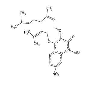 CCCCn1c(=O)c(OCC=C(C)CCC=C(C)C)c(OCC=C(C)C)c2ccc([N+](=O)[O-])cc21